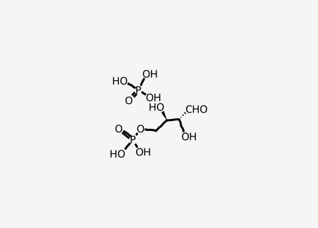 O=C[C@H](O)[C@H](O)COP(=O)(O)O.O=P(O)(O)O